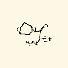 CC[C@H](N)C(=O)N1CCOCC1